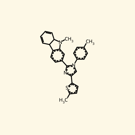 Cc1ccc(-n2cc(-c3ccc(C)s3)nc2-c2ccc3c(c2)N(C)C2C=CC=CC32)cc1